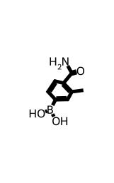 Cc1cc(B(O)O)ccc1C(N)=O